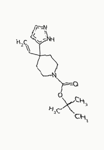 C=CC1(c2ccn[nH]2)CCN(C(=O)OC(C)(C)C)CC1